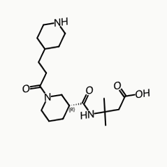 CC(C)(CC(=O)O)NC(=O)[C@@H]1CCCN(C(=O)CCC2CCNCC2)C1